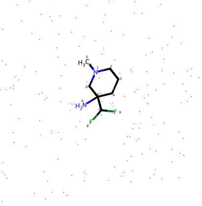 CN1CCCC(N)(C(F)F)C1